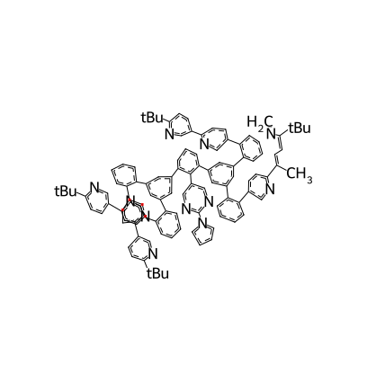 C=N/C(=C\C=C(/C)c1ccc(-c2ccccc2-c2cc(-c3ccccc3-c3ccc(-c4ccc(C(C)(C)C)nc4)nc3)cc(-c3cccc(-c4cc(-c5ccccc5-c5ccc(-c6ccc(C(C)(C)C)nc6)nc5)cc(-c5ccccc5-c5ccc(-c6ccc(C(C)(C)C)nc6)nc5)c4)c3-c3cnc(-n4cccc4)nc3)c2)cn1)C(C)(C)C